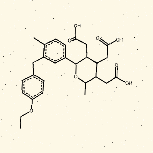 CCOc1ccc(Cc2cc(C3OC(C)C(CC(=O)O)C(CC(=O)O)C3CC(=O)O)ccc2C)cc1